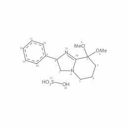 COC1(OC)CCCN2CC(c3ccccc3)N=C21.O=S(=O)(O)O